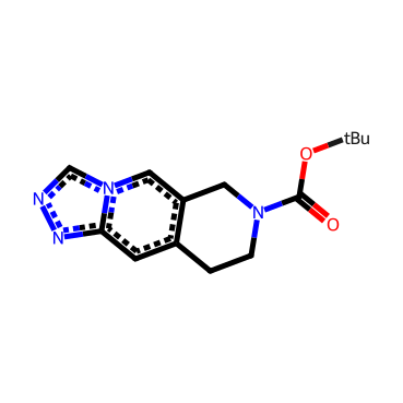 CC(C)(C)OC(=O)N1CCc2cc3nncn3cc2C1